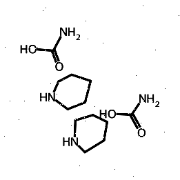 C1CCNCC1.C1CCNCC1.NC(=O)O.NC(=O)O